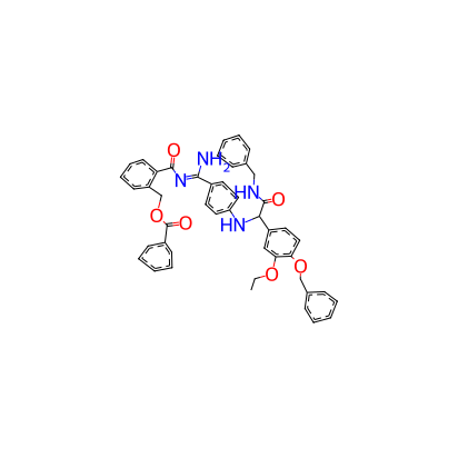 CCOc1cc(C(Nc2ccc(C(N)=NC(=O)c3ccccc3COC(=O)c3ccccc3)cc2)C(=O)NCc2ccccc2)ccc1OCc1ccccc1